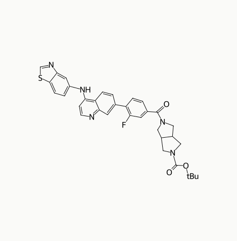 CC(C)(C)OC(=O)N1CC2CN(C(=O)c3ccc(-c4ccc5c(Nc6ccc7scnc7c6)ccnc5c4)c(F)c3)CC2C1